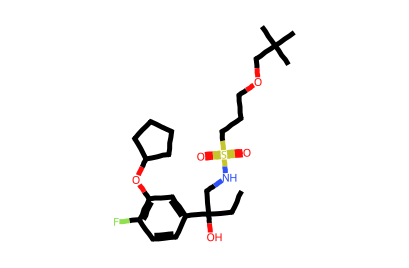 CCC(O)(CNS(=O)(=O)CCCOCC(C)(C)C)c1ccc(F)c(OC2CCCC2)c1